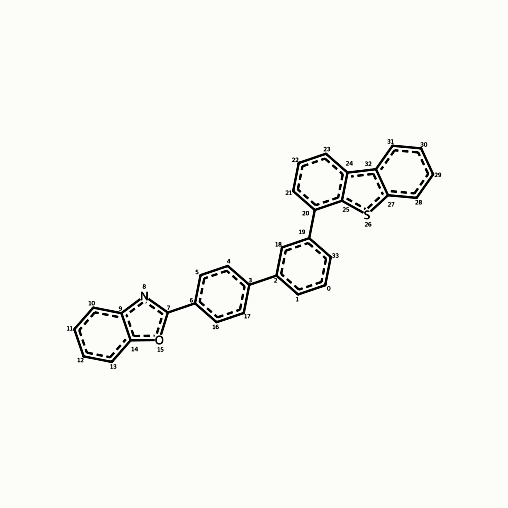 c1cc(-c2ccc(-c3nc4ccccc4o3)cc2)cc(-c2cccc3c2sc2ccccc23)c1